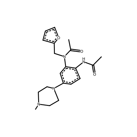 CC(=O)Nc1ccc(N2CCN(C)CC2)cc1N(Cc1ccco1)C(C)=O